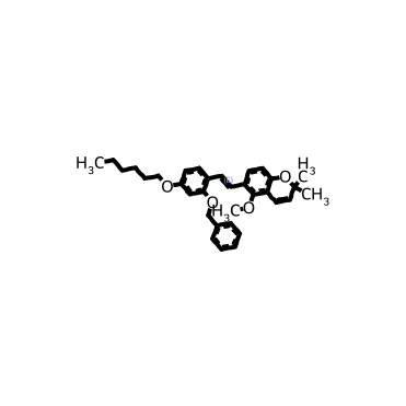 CCCCCCOc1ccc(/C=C/c2ccc3c(c2OC)C=CC(C)(C)O3)c(OCc2ccccc2)c1